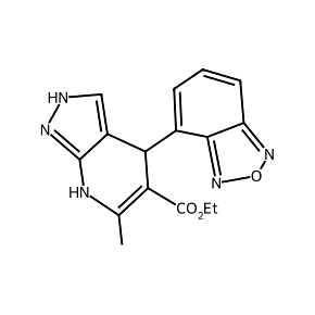 CCOC(=O)C1=C(C)Nc2n[nH]cc2C1c1cccc2nonc12